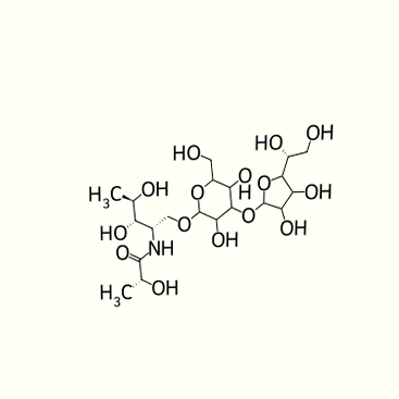 C[C@@H](O)C(=O)N[C@@H](COC1OC(CO)C(O)C(OC2OC([C@H](O)CO)C(O)C2O)C1O)[C@H](O)[C@@H](C)O